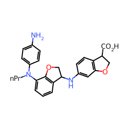 CCCN(c1ccc(N)cc1)c1cccc2c1OCC2Nc1ccc2c(c1)OCC2C(=O)O